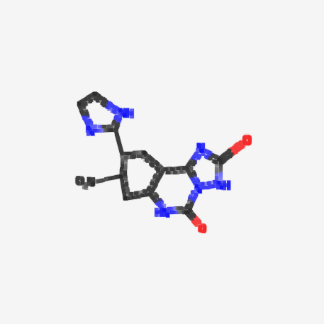 O=c1nc2c3cc(-c4ncc[nH]4)c([N+](=O)[O-])cc3[nH]c(=O)n2[nH]1